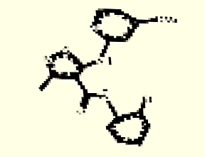 CCc1ccccc1NC(=O)c1c(C)nsc1Nc1cc(OC)ccn1